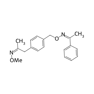 CO/N=C(/C)Cc1ccc(CO/N=C(/C)c2ccccc2)cc1